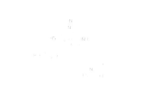 CC(=O)N(C)c1ccc(C(=O)N[C@H]2CCC(=O)N3CCC[C@@H](C(=O)N[C@H](C=O)CC(=O)O)N3C2=O)cc1